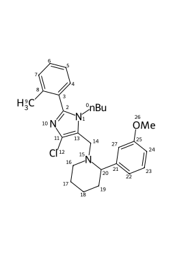 CCCCn1c(-c2ccccc2C)nc(Cl)c1CN1CCCCC1c1cccc(OC)c1